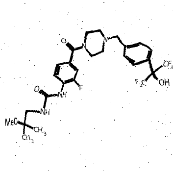 COC(C)(C)CNC(=O)Nc1ccc(C(=O)N2CCN(Cc3ccc(C(O)(C(F)(F)F)C(F)(F)F)cc3)CC2)cc1F